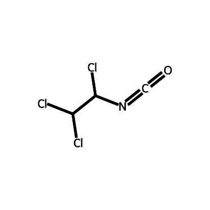 O=C=NC(Cl)C(Cl)Cl